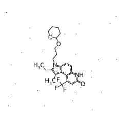 CCc1c(C)c2c3c(C(F)(F)F)cc(=O)[nH]c3ccc2n1CCCOC1CCCCO1